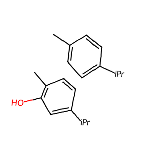 Cc1ccc(C(C)C)cc1.Cc1ccc(C(C)C)cc1O